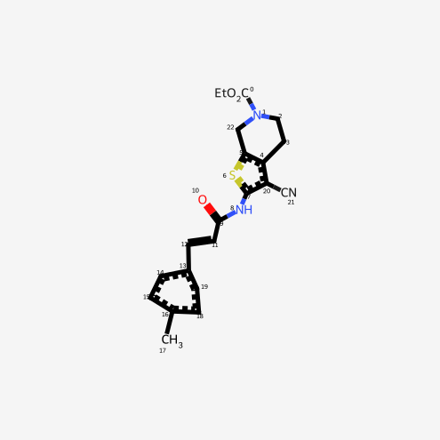 CCOC(=O)N1CCc2c(sc(NC(=O)C=Cc3ccc(C)cc3)c2C#N)C1